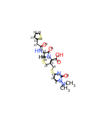 CN(C)n1ccc(SCC2=C(C(=O)O)N3C(=O)[C@@H](NC(=O)Cc4cccs4)[C@H]3SC2)nc1=O